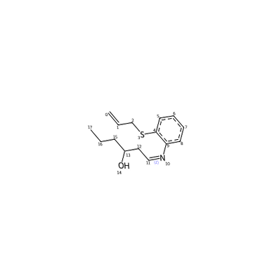 C=CCSc1ccccc1/N=C\CC(O)CCC